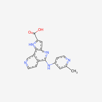 Cc1cc(Nc2nc3cc(C(=O)O)[nH]c3c3cnccc23)ccn1